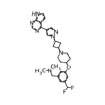 CN(C)Cc1cc(OC2CCN(C3C[C](n4cc(-c5ncnc6[nH]ccc56)cn4)C3)CC2)cc(C(F)F)c1